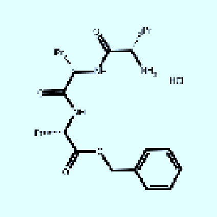 CC(C)[C@H](N)C(=O)N[C@H](C(=O)N[C@H](C(=O)OCc1ccccc1)C(C)C)C(C)C.Cl